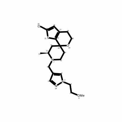 COCCn1cc(CN2CCC3(C[C@@H]2C)OCCc2cc(Cl)sc23)cn1